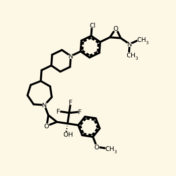 COc1cccc([C@@](O)(C2OC2N2CCCC(CC3CCN(c4ccc(C5OC5N(C)C)c(Cl)c4)CC3)CC2)C(F)(F)F)c1